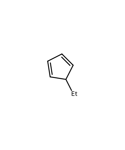 [CH2]CC1C=CC=C1